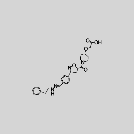 O=C(O)COC1CCN(C(=O)C2CC(c3ccc(C=NNCCc4ccccc4)cc3)=NO2)CC1